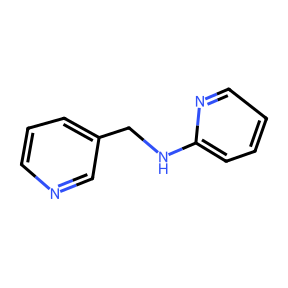 c1ccc(NCc2cccnc2)nc1